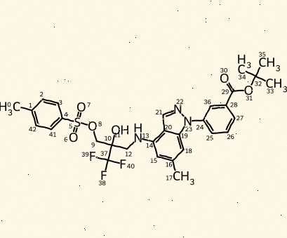 Cc1ccc(S(=O)(=O)OCC(O)(CNc2cc(C)cc3c2cnn3-c2cccc(C(=O)OC(C)(C)C)c2)C(F)(F)F)cc1